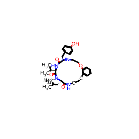 CC(C)C[C@H]1C(=O)NCCCc2ccccc2OCCN[C@H](Cc2ccc(O)cc2)C(=O)N[C@H](C(C)C)C(=O)N1C